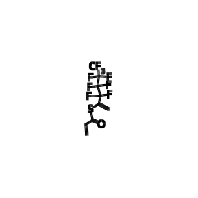 C=CC(=O)SC(=C)C(F)(F)C(F)(F)C(F)(F)C(F)(F)F